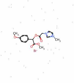 COC(=O)C(OC(=O)C[n+]1ccn(C)c1)c1ccc(OC)cc1.[Br-]